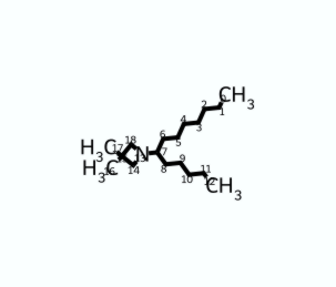 CCCCCCCC(CCCCC)N1CC(C)(C)C1